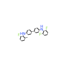 Cc1cccc(F)c1Nc1ccc(-c2ccc(Nc3c(F)cccc3F)cc2)cc1